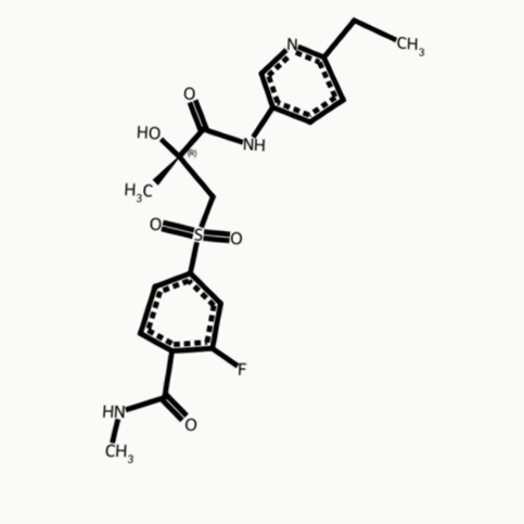 CCc1ccc(NC(=O)[C@@](C)(O)CS(=O)(=O)c2ccc(C(=O)NC)c(F)c2)cn1